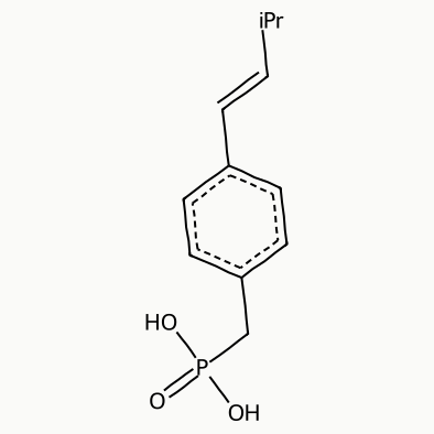 CC(C)/C=C/c1ccc(CP(=O)(O)O)cc1